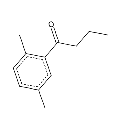 CCCC(=O)c1cc(C)ccc1C